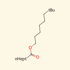 CCCCCCCC(=O)OCCCCCCC(C)(C)C